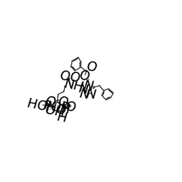 O=C(NCCCC(O)(OP(O)O)O[PH](=O)O)Oc1ccccc1C(=O)OCn1nnnc1Cc1ccccc1